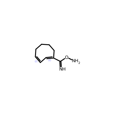 N=C(ON)/C1=C\C=C/CCCC1